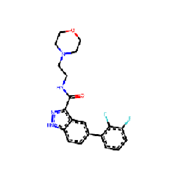 O=C(NCCN1CCOCC1)c1n[nH]c2ccc(-c3cccc(F)c3F)cc12